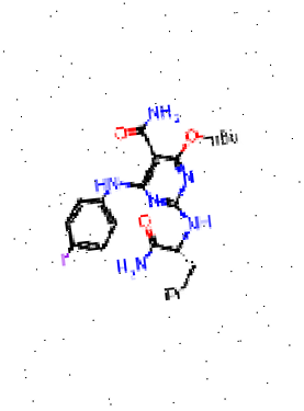 CCCCOc1nc(N[C@H](CC(C)C)C(N)=O)nc(Nc2ccc(I)cc2)c1C(N)=O